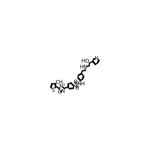 Cc1ccsc1-c1nc(-c2ccc(S(=O)(=O)Nc3ccc(CCNCC(O)c4cccnc4)cc3)cc2)no1